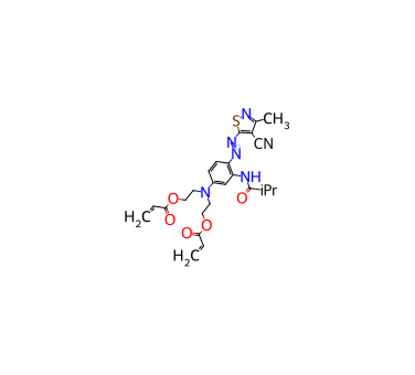 C=CC(=O)OCCN(CCOC(=O)C=C)c1ccc(/N=N/c2snc(C)c2C#N)c(NC(=O)C(C)C)c1